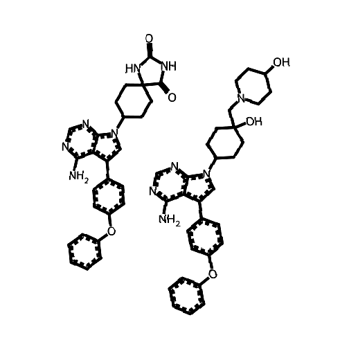 Nc1ncnc2c1c(-c1ccc(Oc3ccccc3)cc1)cn2C1CCC(O)(CN2CCC(O)CC2)CC1.Nc1ncnc2c1c(-c1ccc(Oc3ccccc3)cc1)cn2C1CCC2(CC1)NC(=O)NC2=O